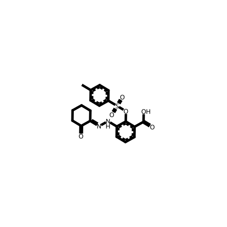 Cc1ccc(S(=O)(=O)Oc2c(NN=C3CCCCC3=O)cccc2C(=O)O)cc1